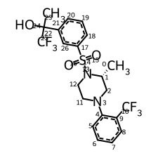 C[C@@H]1CN(c2ccccc2C(F)(F)F)CCN1S(=O)(=O)c1cccc(C(C)(O)C(F)(F)F)c1